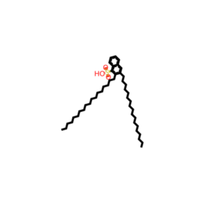 CCCCCCCCCCCCCCCCCCc1cc2ccccc2c(S(=O)(=O)O)c1CCCCCCCCCCCCCCCCCC